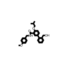 COc1ccc(CNC(=O)c2cc(-c3ccccc3CO)ccc2OCC(C)C)cc1